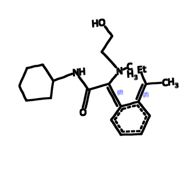 CC/C(C)=c1/cccc/c1=C(\C(=O)NC1CCCCC1)N(C)CCO